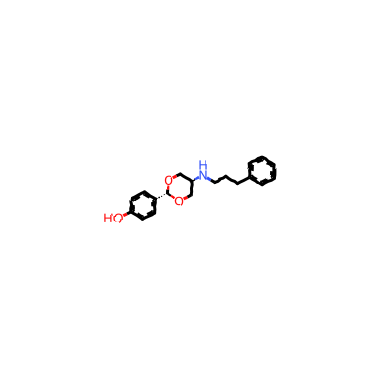 Oc1ccc([C@H]2OC[C@H](NCCCc3ccccc3)CO2)cc1